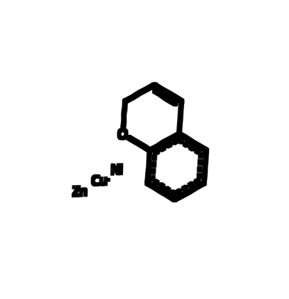 C1=Cc2ccccc2OC1.[Cu].[Ni].[Zn]